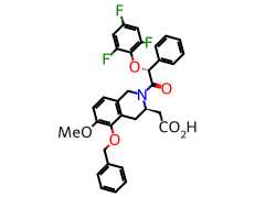 COc1ccc2c(c1OCc1ccccc1)C[C@H](CC(=O)O)N(C(=O)[C@H](Oc1c(F)cc(F)cc1F)c1ccccc1)C2